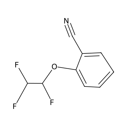 N#Cc1ccccc1OC(F)C(F)F